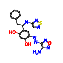 Nc1nonc1N=Nc1cc(C(Cc2ccccc2)=Nc2cnsn2)c(O)cc1O